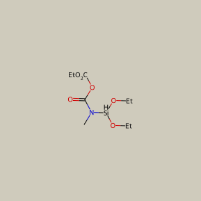 CCOC(=O)OC(=O)N(C)[SiH](OCC)OCC